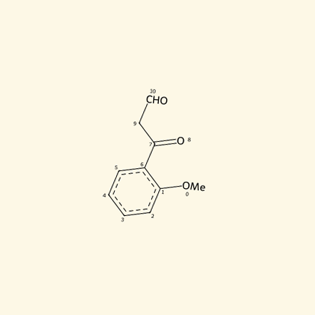 COc1ccccc1C(=O)CC=O